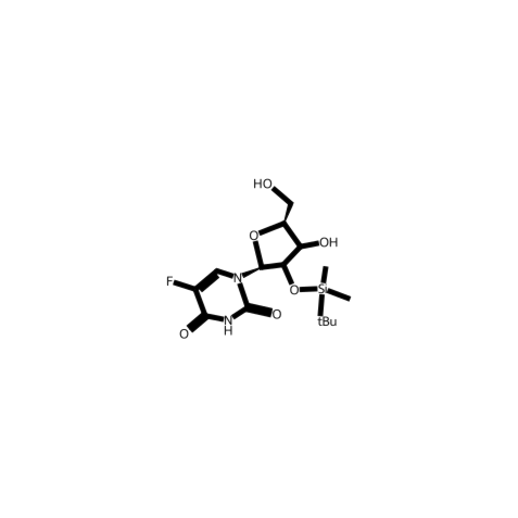 CC(C)(C)[Si](C)(C)OC1C(O)[C@H](CO)O[C@@H]1n1cc(F)c(=O)[nH]c1=O